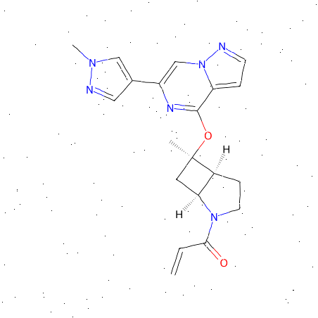 C=CC(=O)N1CC[C@H]2[C@@H]1C[C@@]2(C)Oc1nc(-c2cnn(C)c2)cn2nccc12